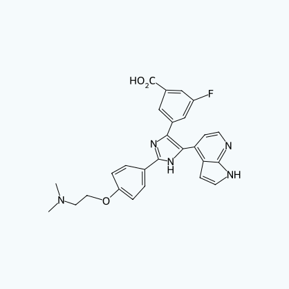 CN(C)CCOc1ccc(-c2nc(-c3cc(F)cc(C(=O)O)c3)c(-c3ccnc4[nH]ccc34)[nH]2)cc1